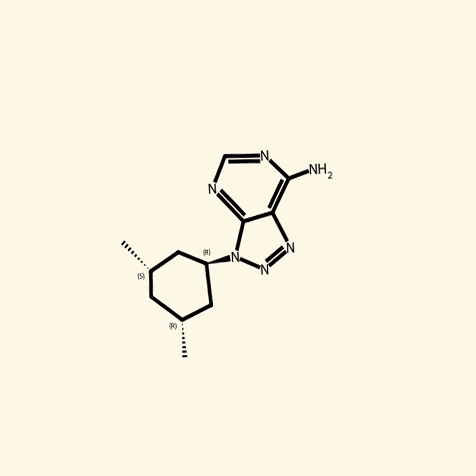 C[C@@H]1C[C@H](C)C[C@@H](n2nnc3c(N)ncnc32)C1